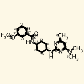 Cc1cc(N(C)C)nc(NC2CCC(NC(=O)c3cccc(OC(F)(F)F)c3)CC2)n1